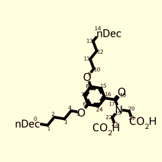 CCCCCCCCCCCCCCOc1cc(OCCCCCCCCCCCCCC)cc(C(=O)N(CC(=O)O)CC(=O)O)c1